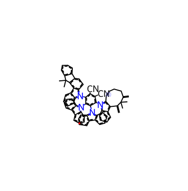 C=C1CC/C=C\c2c(c3ccccc3n2-c2c(C#N)c(C#N)c(-n3c4ccccc4c4c5c(ccc43)-c3ccccc3C5(C)C)c(-n3c4ccccc4c4ccccc43)c2-n2c3ccccc3c3ccccc32)C(=C)C1(C)C